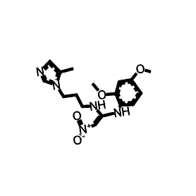 COc1ccc(N/C(=C/[N+](=O)[O-])NCCCn2cncc2C)c(OC)c1